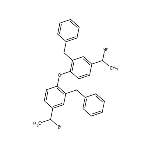 CC(Br)c1ccc(Oc2ccc(C(C)Br)cc2Cc2ccccc2)c(Cc2ccccc2)c1